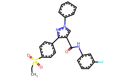 CCS(=O)(=O)c1ccc(-c2nn(-c3ccccc3)cc2C(=O)Nc2cccc(F)c2)cc1